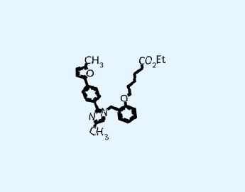 CCOC(=O)CCCCCOc1ccccc1Cn1cc(C)nc1-c1ccc(-c2ccc(C)o2)cc1